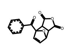 O=C1OC(=O)C2C1C1C=CC2(C(=O)c2ccccc2)O1